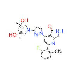 C[C@@]1(O)CN(c2ccn(-c3cc(-c4c(F)cccc4C#N)nc4c3C(=O)NC4)n2)C[C@@](C)(O)C1